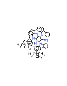 CC(C)(C)c1ccc2c(c1)c1cc(C(C)(C)C)ccc1n2-c1c(-n2c3ccccc3c3ccccc32)c(C#N)c(-n2c3ccccc3c3ccccc32)c(-n2c3ccccc3c3ccccc32)c1-n1c2ccccc2c2ccccc21